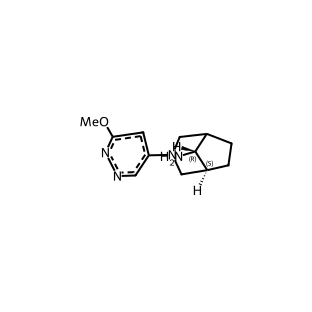 COc1cc(N2CC3CC[C@@H](C2)[C@@H]3N)cnn1